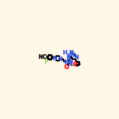 Cn1c(=O)n(CCN2CCN(c3ccc(C#N)c(F)c3)CC2)c2nc3c(n21)C(c1ccco1)=NCN3N